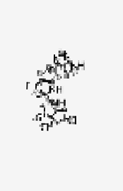 C[S+](C)CC[C@@H](Nc1cc(Cl)cc(Cl)c1)C(=O)N[C@H]1CN(c2ncnc3[nH]ccc23)CC[C@@H]1C(F)(F)F